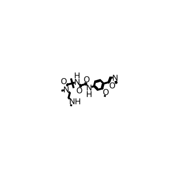 CNCCN(C)C(=O)C(C)(C)NC(=O)C(=O)Nc1ccc(-c2cnco2)c(OC)c1